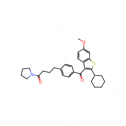 COc1ccc2c(C(=O)c3ccc(CCCC(=O)N4CCCC4)cc3)c(C3CCCCC3)sc2c1